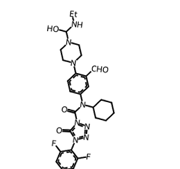 CCNC(O)N1CCN(c2ccc(N(C(=O)n3nnn(-c4c(F)cccc4F)c3=O)C3CCCCC3)cc2C=O)CC1